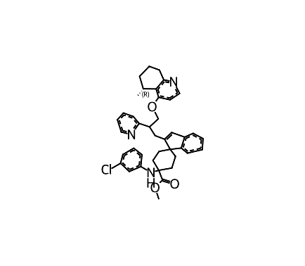 COC(=O)C1(Nc2cccc(Cl)c2)CCC2(CC1)C(CC(COc1ccnc3c1[C@H](C)CCC3)c1ccccn1)=Cc1ccccc12